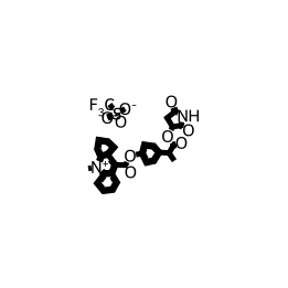 CC(C(=O)OC1CC(=O)NC1=O)c1ccc(OC(=O)c2c3ccccc3[n+](C)c3ccccc23)cc1.O=S(=O)([O-])C(F)(F)F